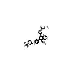 C=CC(=O)N1CCC(c2cc(-c3ccc(OC4=NC=CC(C(F)(F)F)C4)cc3)c(N)c3cncnc23)C1